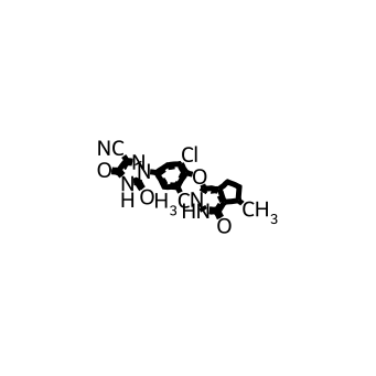 Cc1cc(-n2nc(C#N)c(=O)[nH]c2=O)cc(Cl)c1Oc1n[nH]c(=O)c2c1CCC2C